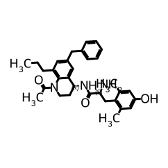 CCCc1cc(Cc2ccccc2)cc2c1N(C(C)=O)CC[C@H]2NC(=O)[C@@H](N)Cc1c(C)cc(O)cc1C